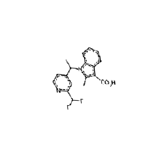 Cc1c(C(=O)O)c2ccccc2n1C(C)c1ccnc(C(F)F)c1